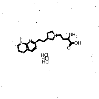 Cl.Cl.Cl.NC(CCN1CCC(CCc2ccc3c(n2)NCCC3)C1)C(=O)O